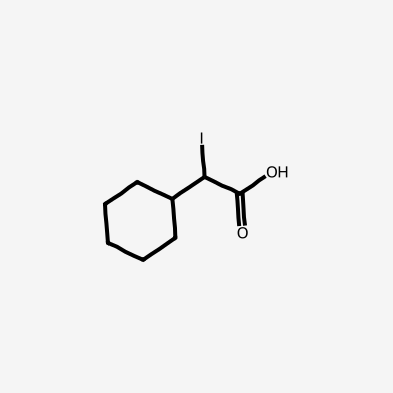 O=C(O)C(I)C1CCCCC1